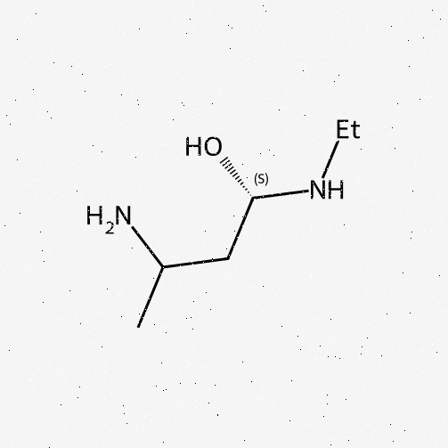 CCN[C@@H](O)CC(C)N